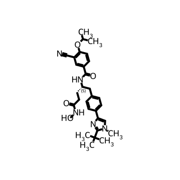 CC(C)Oc1ccc(C(=O)N[C@@H](CCC(=O)NO)Cc2ccc(-c3cn(C)c(C(C)(C)C)n3)cc2)cc1C#N